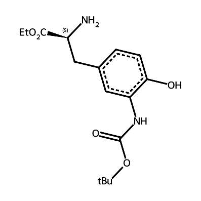 CCOC(=O)[C@@H](N)Cc1ccc(O)c(NC(=O)OC(C)(C)C)c1